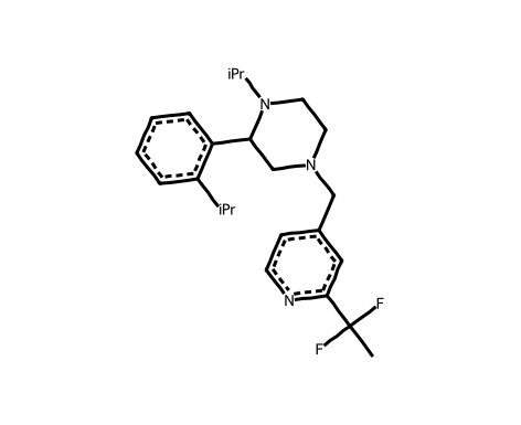 CC(C)c1ccccc1C1CN(Cc2ccnc(C(C)(F)F)c2)CCN1C(C)C